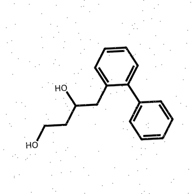 OCCC(O)Cc1ccccc1-c1ccccc1